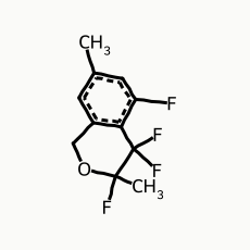 Cc1cc(F)c2c(c1)COC(C)(F)C2(F)F